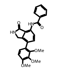 COc1ccc(-c2ccc(NC(=O)c3ccccc3)c3c2CNC3=O)c(OC)c1OC